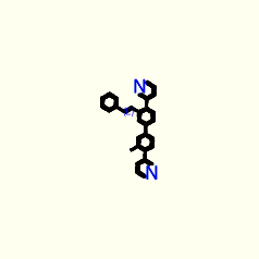 Cc1cc(-c2ccc(-c3cccnc3)c(/C=C/c3ccccc3)c2)ccc1-c1cccnc1